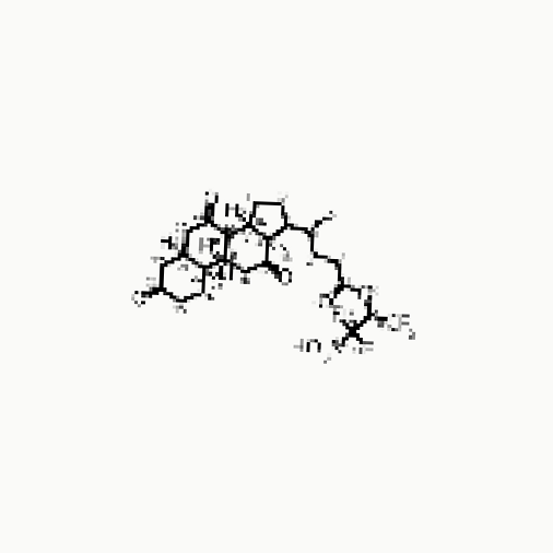 CC(CCC(=O)OC(C(F)(F)F)C(F)(F)S(=O)(=O)O)C1CC[C@H]2[C@@H]3C(=O)C[C@@H]4CC(=O)CC[C@]4(C)[C@H]3CC(=O)[C@]12C